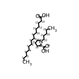 CCCCCCCCCCCCCCCC(=O)O.CCCCCN1CCC[C@H]1C(=O)O